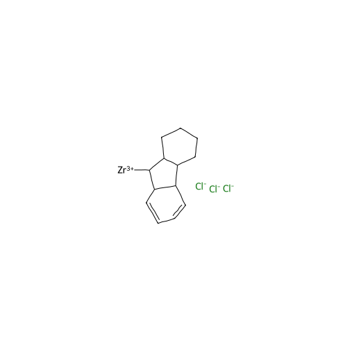 [Cl-].[Cl-].[Cl-].[Zr+3][CH]1C2C=CC=CC2C2CCCCC12